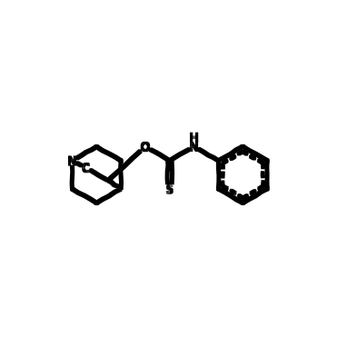 S=C(Nc1ccccc1)OC1CN2CCC1CC2